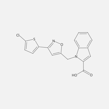 O=C(O)c1cc2ccccc2n1Cc1cc(-c2ccc(Cl)s2)no1